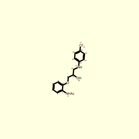 CC(=O)Nc1ccccc1OCC(O)CNc1ccc(C(F)(F)F)cc1